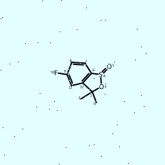 CC1(C)OS(=O)c2ccc(F)cc21